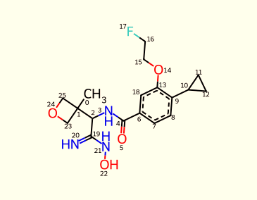 CC1(C(NC(=O)c2ccc(C3CC3)c(OCCF)c2)C(=N)NO)COC1